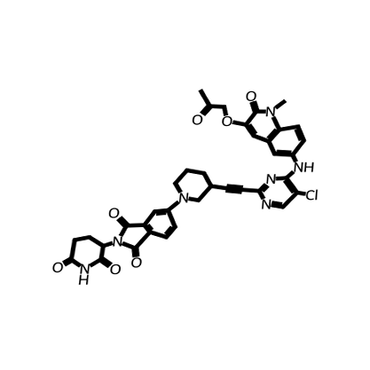 CC(=O)COc1cc2cc(Nc3nc(C#CC4CCCN(c5ccc6c(c5)C(=O)N(C5CCC(=O)NC5=O)C6=O)C4)ncc3Cl)ccc2n(C)c1=O